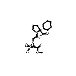 COC(=O)C1N(CC(=O)N2CCC[C@]2(C(=O)O)C2CCCCC2)S1(=O)=O